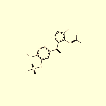 C=C(c1cnc(OC)c(NS(C)(=O)=O)c1)c1scc(Br)c1/N=C(\N)Cl